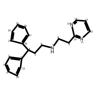 c1ccc(C(CCNCCc2ncccn2)c2ccccc2)cc1